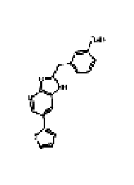 COc1cccc(Cc2nc3ncc(-c4cccs4)cc3[nH]2)c1